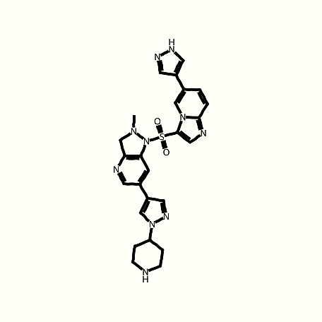 CN1Cc2ncc(-c3cnn(C4CCNCC4)c3)cc2N1S(=O)(=O)c1cnc2ccc(-c3cn[nH]c3)cn12